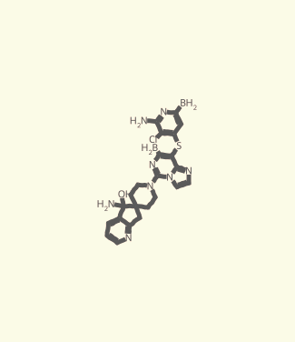 Bc1cc(Sc2c(B)nc(N3CCC4(CC3)Cc3ncccc3C4(N)O)n3ccnc23)c(Cl)c(N)n1